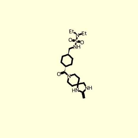 C=C1NCC2(CCN(C(=O)[C@H]3CC[C@H](CNS(=O)(=O)N(CC)CC)CC3)CC2)N1